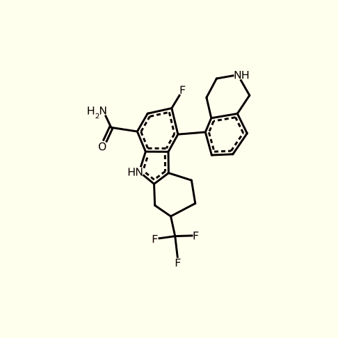 NC(=O)c1cc(F)c(-c2cccc3c2CCNC3)c2c3c([nH]c12)CC(C(F)(F)F)CC3